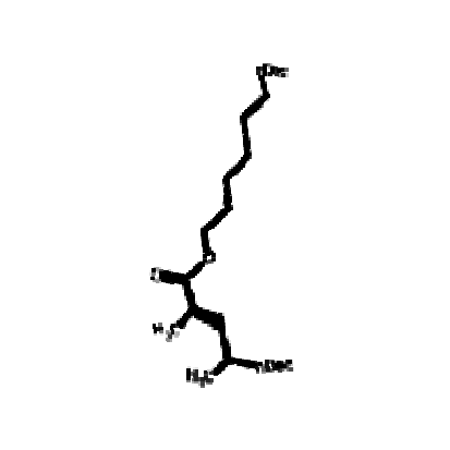 CCCCCCCCCCCCCCCCOC(=O)C(C)=CC(C)CCCCCCCCCC